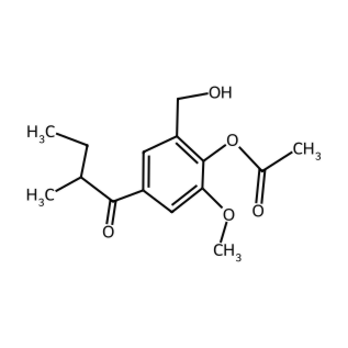 CCC(C)C(=O)c1cc(CO)c(OC(C)=O)c(OC)c1